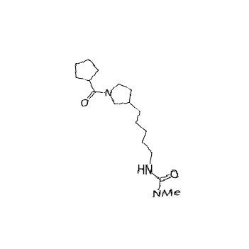 CNC(=O)NCCCCCC1CCN(C(=O)C2CCCC2)C1